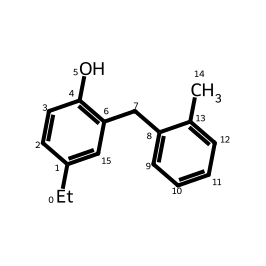 CCc1ccc(O)c(Cc2ccccc2C)c1